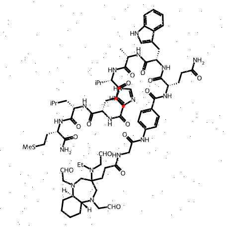 CCN(CC=O)C1(CCC(=O)NCC(=O)Nc2ccc(C(=O)N[C@@H](CCC(N)=O)C(=O)N[C@@H](Cc3c[nH]c4ccccc34)C(=O)N[C@@H](C)C(=O)N[C@H](C(=O)NCC(=O)N[C@@H](Cc3cnc[nH]3)C(=O)N[C@@H](CC(C)C)C(=O)N[C@@H](CCSC)C(N)=O)C(C)C)cc2)CN(CC=O)[C@@H]2CCCC[C@H]2N(CC=O)C1